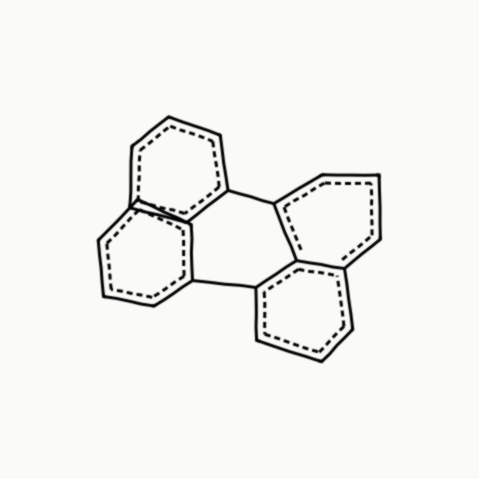 c1ccc(-c2cccc3cccc(-c4ccccc4)c23)cc1